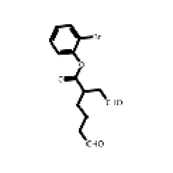 O=CCCCC(CC=O)C(=O)Oc1ccccc1Br